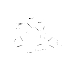 [2H]C(Nc1cc(Cl)c2ncc(C#N)c(N[C@H](CC)c3ccccc3)c2c1)(c1cn(C2CC2)nn1)c1ccc(F)nc1C